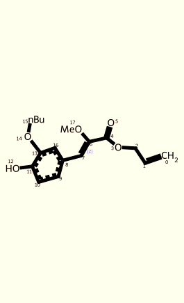 C=CCOC(=O)/C(=C/c1ccc(O)c(OCCCC)c1)OC